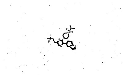 CN(C)S(=O)(=O)N1CCN(c2nc(CCC(C)(F)F)cnc2-c2ccc3occc3c2)CC1